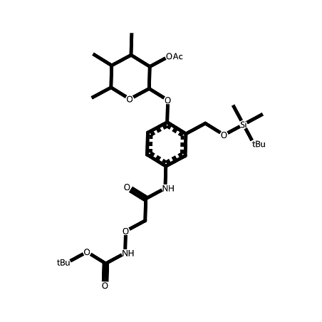 CC(=O)OC1C(Oc2ccc(NC(=O)CONC(=O)OC(C)(C)C)cc2CO[Si](C)(C)C(C)(C)C)OC(C)C(C)C1C